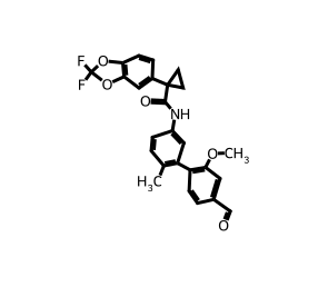 COc1cc(C=O)ccc1-c1cc(NC(=O)C2(c3ccc4c(c3)OC(F)(F)O4)CC2)ccc1C